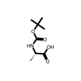 [CH2][C@H](NC(=O)OC(C)(C)C)C(=O)O